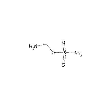 NCOS(N)(=O)=O